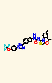 Cc1ccc(N2C(=O)CSC2=NC(=O)NC2Cc3ccc(-c4ncn(-c5ccc(OC(F)(F)F)cc5)n4)cc3C2)c(C(C)C)c1